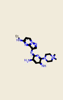 CCNc1ccn2ncc(/N=C3\N=C(N4CC[N+](C)(C)CC4)C(=N)C=C3N)c2n1